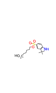 CC1(C)CNc2ccc(S(=O)(=O)OCCCCCC(=O)O)cc21